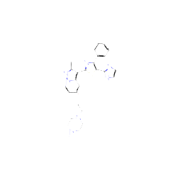 Cc1nn2ccc(OCCN3CCN(C)CC3)cc2c1-c1nc(-c2ccccc2)c(-c2ncc[nH]2)s1